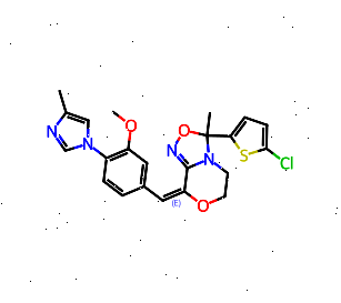 COc1cc(/C=C2/OCCN3C2=NOC3(C)c2ccc(Cl)s2)ccc1-n1cnc(C)c1